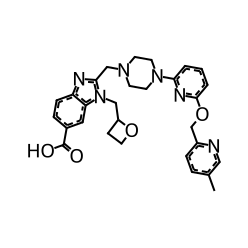 Cc1ccc(COc2cccc(N3CCN(Cc4nc5ccc(C(=O)O)cc5n4CC4CCO4)CC3)n2)nc1